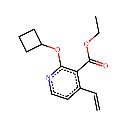 C=Cc1ccnc(OC2CCC2)c1C(=O)OCC